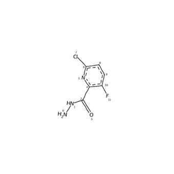 NNC(=O)c1nc(Cl)ccc1F